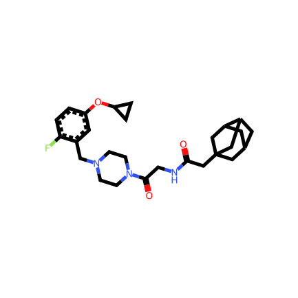 O=C(CC12CC3CC(C1)C(C3)C2)NCC(=O)N1CCN(Cc2cc(OC3CC3)ccc2F)CC1